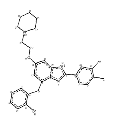 Cc1ccc(-c2nc3c(Cc4ccccc4Br)cc(OCCN4CCCCC4)cc3[nH]2)cc1C